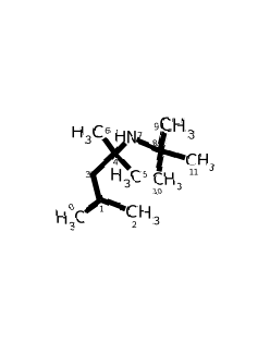 CC(C)CC(C)(C)NC(C)(C)C